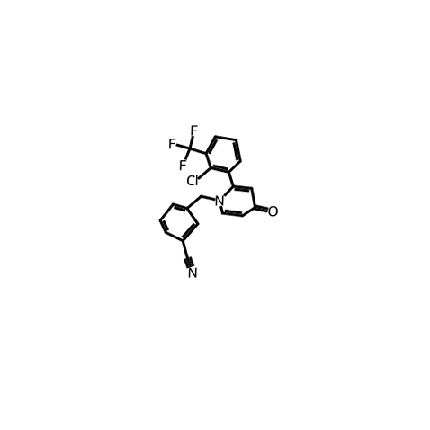 N#Cc1cccc(Cn2ccc(=O)cc2-c2cccc(C(F)(F)F)c2Cl)c1